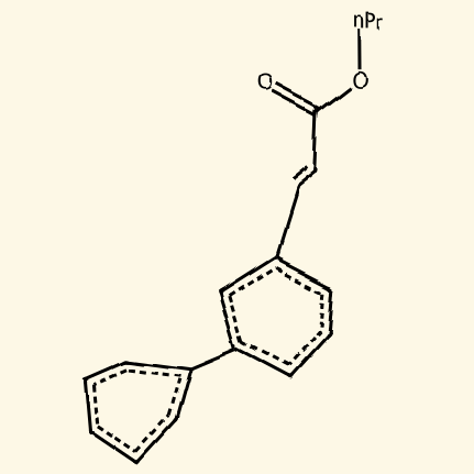 CCCOC(=O)/C=C/c1cccc(-c2ccccc2)c1